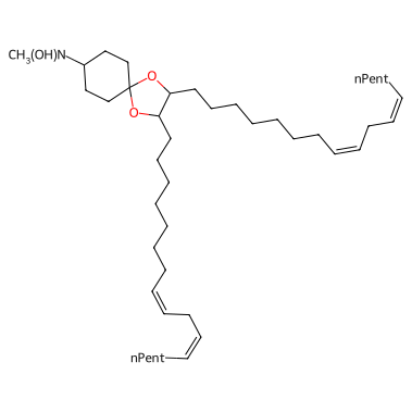 CCCCC/C=C\C/C=C\CCCCCCCC1OC2(CCC(N(C)O)CC2)OC1CCCCCCC/C=C\C/C=C\CCCCC